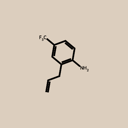 C=CCc1cc(C(F)(F)F)ccc1N